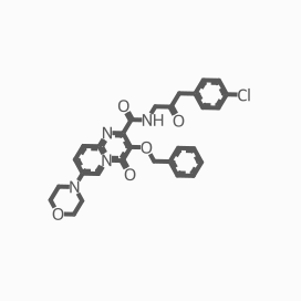 O=C(CNC(=O)c1nc2ccc(N3CCOCC3)cn2c(=O)c1OCc1ccccc1)Cc1ccc(Cl)cc1